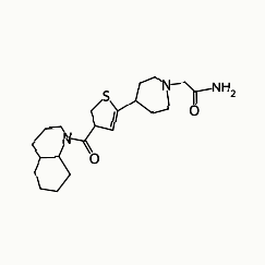 NC(=O)CN1CCC(C2=CC(C(=O)N3CCCC4CCCCC43)CS2)CC1